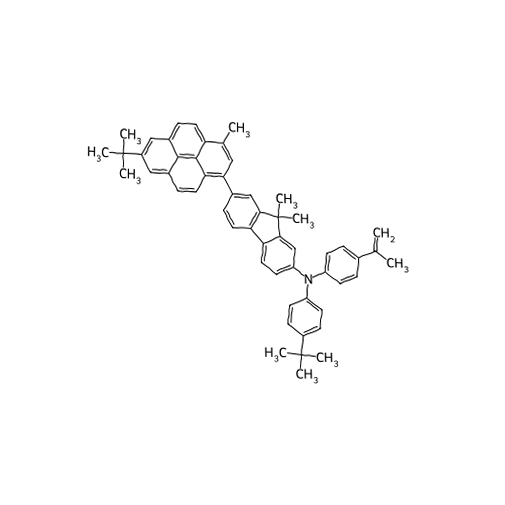 C=C(C)c1ccc(N(c2ccc(C(C)(C)C)cc2)c2ccc3c(c2)C(C)(C)c2cc(-c4cc(C)c5ccc6cc(C(C)(C)C)cc7ccc4c5c67)ccc2-3)cc1